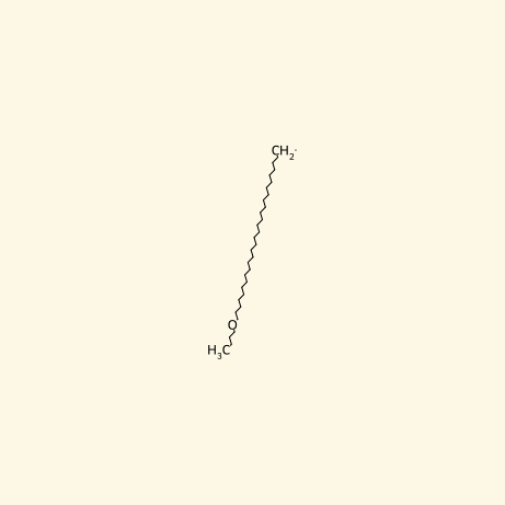 [CH2]CCCCCCCCCCCCCCCCCCCCCCCCCCCOCCCC